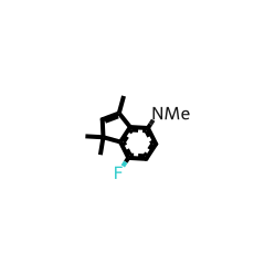 CNc1ccc(F)c2c1C(C)=CC2(C)C